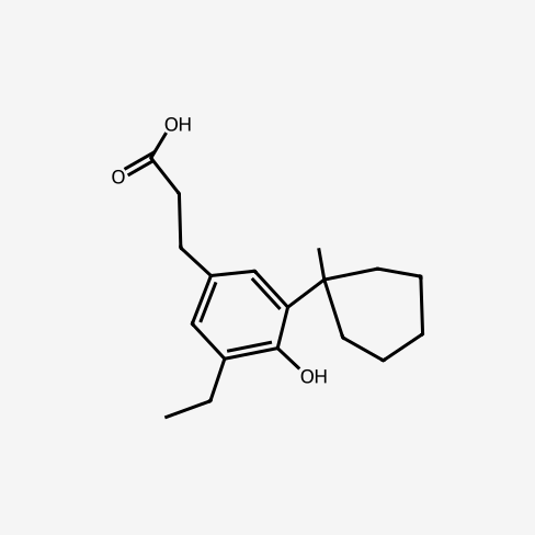 CCc1cc(CCC(=O)O)cc(C2(C)CCCCC2)c1O